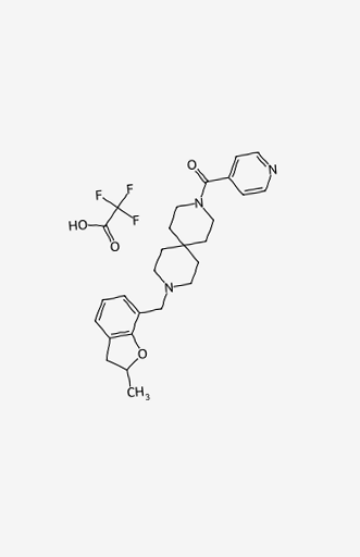 CC1Cc2cccc(CN3CCC4(CC3)CCN(C(=O)c3ccncc3)CC4)c2O1.O=C(O)C(F)(F)F